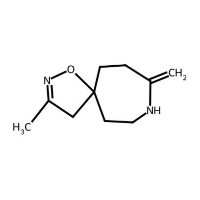 C=C1CCC2(CCN1)CC(C)=NO2